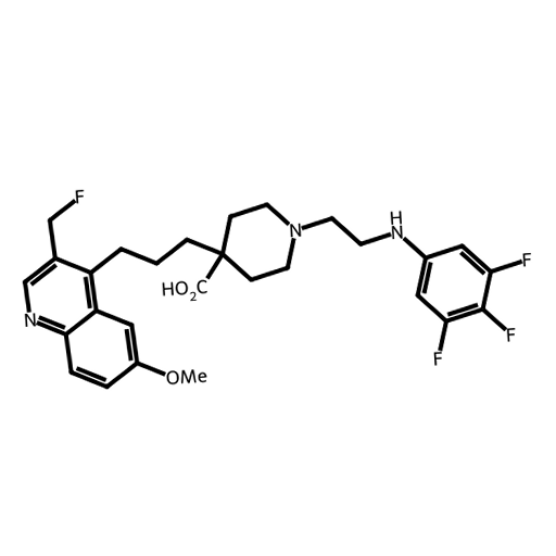 COc1ccc2ncc(CF)c(CCCC3(C(=O)O)CCN(CCNc4cc(F)c(F)c(F)c4)CC3)c2c1